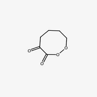 O=C1CCCCOOC1=O